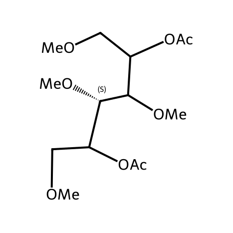 COCC(OC(C)=O)C(OC)[C@@H](OC)C(COC)OC(C)=O